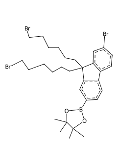 CC1(C)OB(c2ccc3c(c2)C(CCCCCCBr)(CCCCCCBr)c2cc(Br)ccc2-3)OC1(C)C